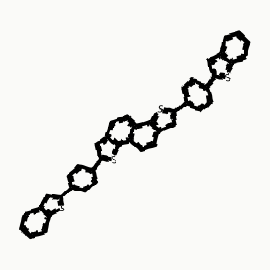 c1ccc2sc(-c3ccc(-c4cc5ccc6c(ccc7cc(-c8ccc(-c9cc%10ccccc%10s9)cc8)sc76)c5s4)cc3)cc2c1